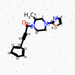 CC1CN(c2nccs2)CCN1C(=O)C#Cc1ccccc1